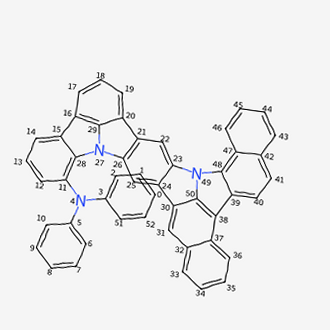 c1ccc(N(c2ccccc2)c2cccc3c4cccc5c6cc7c(cc6n(c23)c54)c2cc3ccccc3c3c4ccc5ccccc5c4n7c23)cc1